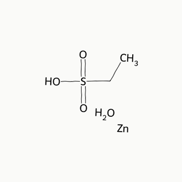 CCS(=O)(=O)O.O.[Zn]